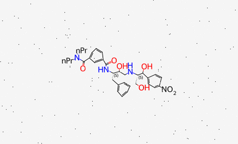 CCCN(CCC)C(=O)c1cccc(C(=O)N[C@@H](Cc2ccccc2)C(O)CN[C@@H](CO)C(O)c2ccc([N+](=O)[O-])cc2)c1